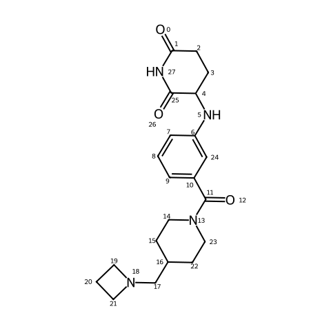 O=C1CCC(Nc2cccc(C(=O)N3CCC(CN4CCC4)CC3)c2)C(=O)N1